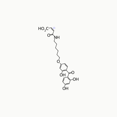 O=C(O)/C=C\C(=O)NCCCCCCOc1ccc(C(=O)c2ccc(O)cc2O)c(O)c1